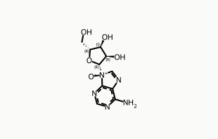 Nc1ncnc2c1N=C[N+]2([O-])[C@@H]1O[C@H](CO)[C@@H](O)[C@H]1O